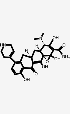 CN(C)[C@@H]1C(O)=C(C(N)=O)C2(O)O[C@@]23C(O)=C2C(=O)c4c(O)ccc(C5=CCNCC5)c4C[C@H]2C[C@@H]13